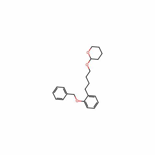 c1ccc(COc2ccccc2CCCCOC2CCCCO2)cc1